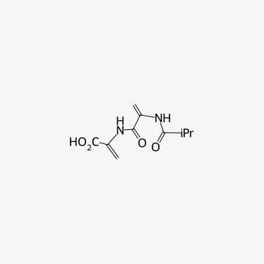 C=C(NC(=O)C(=C)NC(=O)C(C)C)C(=O)O